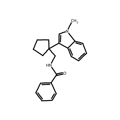 Cn1cc(C2(CNC(=O)c3ccccc3)CCCC2)c2ccccc21